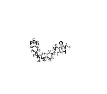 CCNC(=O)c1ccc(-c2ccc(OC3CN(Cc4ccc(C(F)(F)F)cc4)C3)cc2)nc1